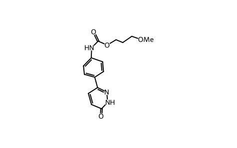 COCCCOC(=O)Nc1ccc(-c2ccc(=O)[nH]n2)cc1